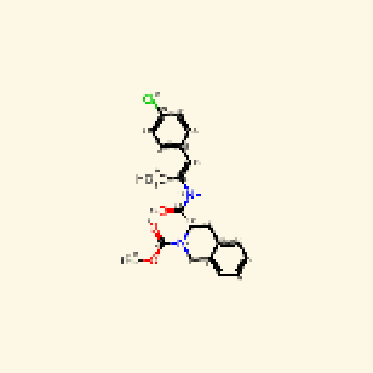 CC(C)(C)OC(=O)N1Cc2ccccc2C[C@H]1C(=O)N/C(=C/c1ccc(Cl)cc1)C(=O)O